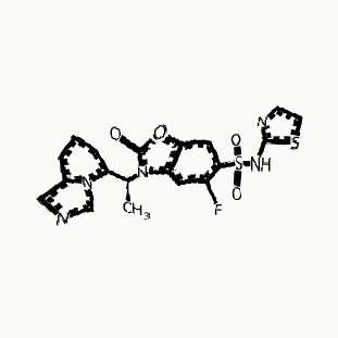 C[C@@H](c1cccc2cncn12)n1c(=O)oc2cc(S(=O)(=O)Nc3nccs3)c(F)cc21